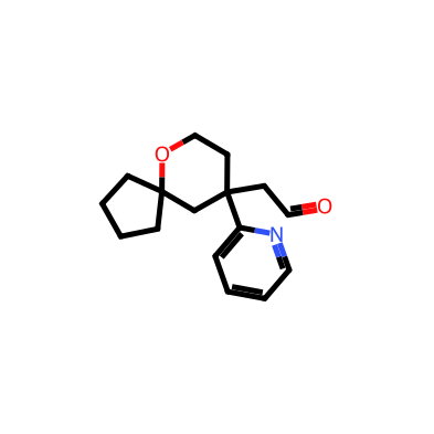 O=CCC1(c2ccccn2)CCOC2(CCCC2)C1